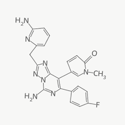 Cn1cc(-c2c(-c3ccc(F)cc3)nc(N)n3nc(Cc4cccc(N)n4)nc23)ccc1=O